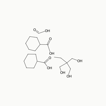 CCC(CO)(CO)CO.O=C(O)C1CCCCC1.O=C(O)C1CCCCC1.O=CO